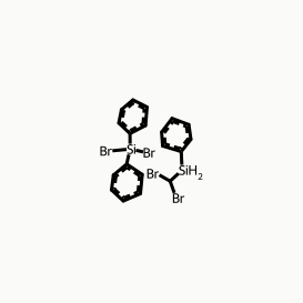 BrC(Br)[SiH2]c1ccccc1.Br[Si](Br)(c1ccccc1)c1ccccc1